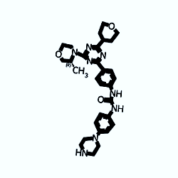 C[C@@H]1COCCN1c1nc(-c2ccc(NC(=O)Nc3ccc(N4CCNCC4)cc3)cc2)nc(C2CCOCC2)n1